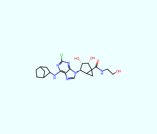 O=C(NCCO)C12CC1[C@@H](n1cnc3c(NC4CC5CCC4C5)nc(Cl)nc31)[C@H](O)[C@@H]2O